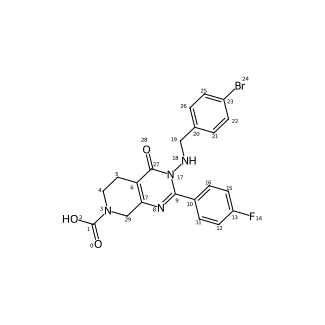 O=C(O)N1CCc2c(nc(-c3ccc(F)cc3)n(NCc3ccc(Br)cc3)c2=O)C1